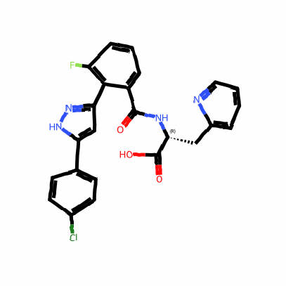 O=C(N[C@H](Cc1ccccn1)C(=O)O)c1cccc(F)c1-c1cc(-c2ccc(Cl)cc2)[nH]n1